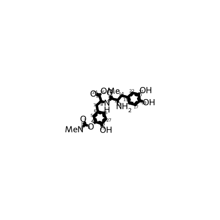 CNC(=O)Oc1cc(CC(NC(=O)C(N)Cc2ccc(O)c(O)c2)C(=O)OC)ccc1O